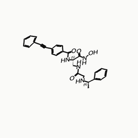 C[C@@H](NCC(=O)NC[C@H](NC(=O)c1ccc(C#Cc2ccccc2)cc1)C(=O)NO)c1ccccc1